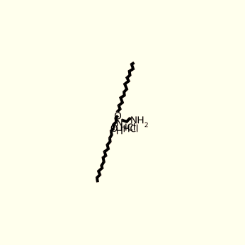 CCCCCCCCCCCCCCCCOCC(COCCCCCCCCCCCCCCCC)NCCCN.Cl.Cl